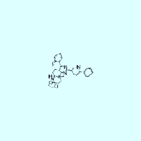 C[C@@H]1[C@H]2CCc3c(-c4ccccc4F)nc(-c4ccc(-c5ccccc5)nc4)nc3[C@]2(C)CCC12OCCO2